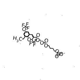 CCc1cc(OC(F)(F)F)cc2c1OC(C(F)(F)F)C(C(=O)OCOC(=O)OCCCCO[N+](=O)[O-])=C2